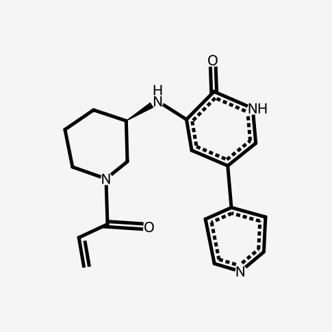 C=CC(=O)N1CCC[C@@H](Nc2cc(-c3ccncc3)c[nH]c2=O)C1